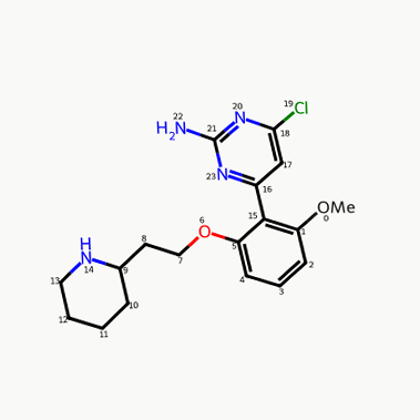 COc1cccc(OCCC2CCCCN2)c1-c1cc(Cl)nc(N)n1